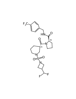 O=C(NCc1ccc(C(F)(F)F)cc1)[C@H]1CCCN1C(=O)[C@H]1CCCN(S(=O)(=O)N2CC(C(F)F)C2)C1